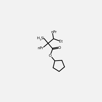 CCCC(CC)C([SiH3])(CCC)C(=O)OC1CCCC1